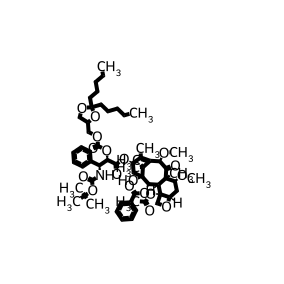 CCCCCC1(CCCCC)OCC(COC(=O)O[C@@H](C(=O)O[C@H]2C[C@@]3(O)[C@@H](OC(=O)c4ccccc4)[C@@H]4[C@]5(OC(C)=O)CO[C@@H]5C[C@H](OC)[C@@]4(C)C(=O)[C@H](OC)C(=C2C)C3(C)C)[C@@H](NC(=O)OC(C)(C)C)c2ccccc2)O1